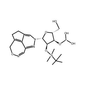 CC(C)(C)[Si](C)(C)O[C@@H]1[C@H](OP(O)O)[C@@H](CO)O[C@H]1N1C=C2CCC3=C2C(=N1)C=NOC3